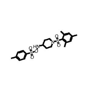 Cc1ccc(S(=O)(=O)ONC2CCN(S(=O)(=O)c3c(C)cc(C)cc3C)CC2)cc1